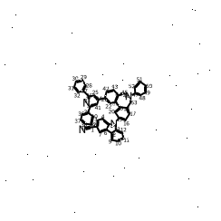 N#Cc1ccc2c(c1)c1ccccc1n2-c1ccc2c(c1)-c1cc(-c3cc(-c4ccccc4)nc(-c4ccccc4)c3)ccc1CN(c1ccccc1)C2